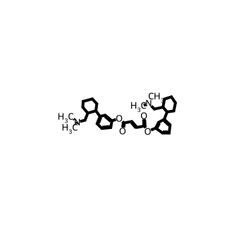 CN(C)CC1CCCCC1c1cccc(OC(=O)/C=C/C(=O)Oc2cccc(C3CCCCC3CN(C)C)c2)c1